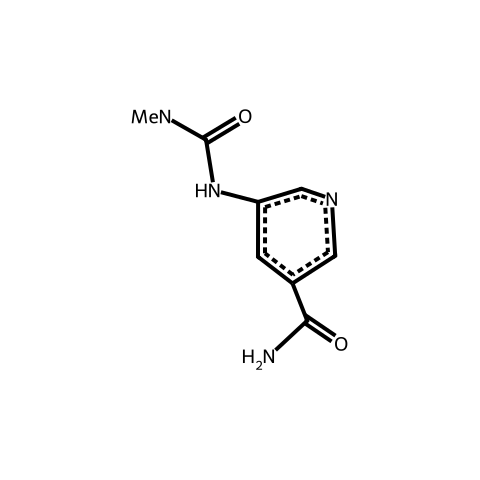 CNC(=O)Nc1cncc(C(N)=O)c1